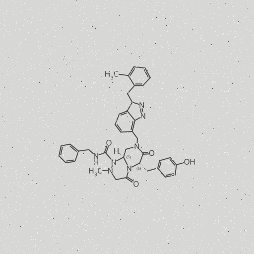 Cc1ccccc1CC1N=Nc2c(CN3C[C@H]4N(C(=O)CN(C)N4C(=O)NCc4ccccc4)[C@@H](Cc4ccc(O)cc4)C3=O)cccc21